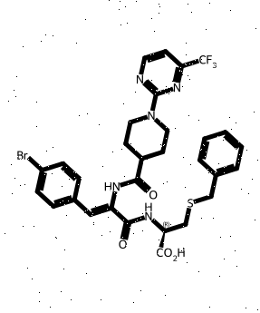 O=C(N[C@@H](CSCc1ccccc1)C(=O)O)C(=Cc1ccc(Br)cc1)NC(=O)C1CCN(c2nccc(C(F)(F)F)n2)CC1